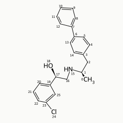 C[C@H](Cc1ccc(-c2ccccc2)cc1)NC[C@H](O)c1cccc(Cl)c1